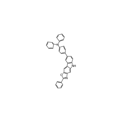 c1ccc(-c2nc3cc4[nH]c5ccc(-c6ccc(N(c7ccccc7)c7ccccc7)cc6)cc5c4cc3o2)cc1